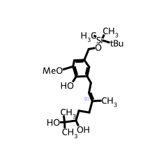 COc1cc(CO[Si](C)(C)C(C)(C)C)cc(C/C=C(\C)CCC(O)C(C)(C)O)c1O